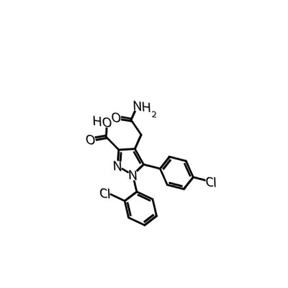 NC(=O)Cc1c(C(=O)O)nn(-c2ccccc2Cl)c1-c1ccc(Cl)cc1